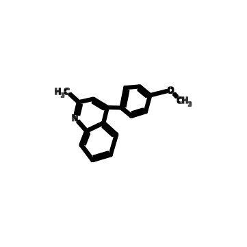 COc1ccc(-c2cc(C)nc3ccccc23)cc1